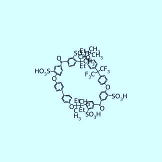 CCC(C)(C)Oc1ccc(C(c2ccc(Oc3ccc(C(=O)c4ccc(C(C)(CC)C(C)(CC)Oc5ccc(-c6ccc(Oc7ccc(C(=O)c8ccc(C(C)(C)CC)c(S(=O)(=O)O)c8)cc7S(=O)(=O)O)cc6)cc5)c(S(=O)(=O)O)c4)cc3S(=O)(=O)O)cc2)(C(F)(F)F)C(F)(F)F)cc1